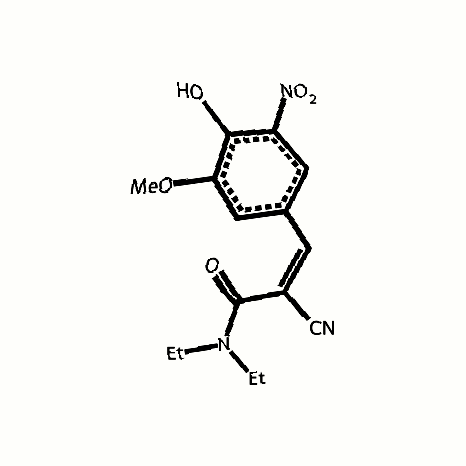 CCN(CC)C(=O)C(C#N)=Cc1cc(OC)c(O)c([N+](=O)[O-])c1